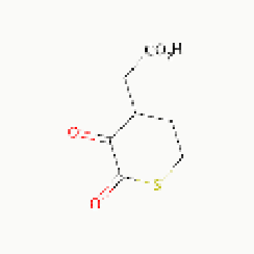 O=C(O)CC1CCSC(=O)C1=O